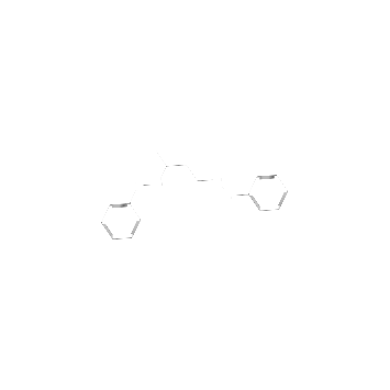 CC(CCOSc1ccccc1)OSc1ccccc1